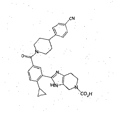 N#Cc1ccc(C2CCN(C(=O)c3ccc(C4CC4)c(-c4nc5c([nH]4)CN(C(=O)O)CC5)c3)CC2)cc1